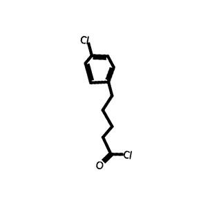 O=C(Cl)CCCCc1ccc(Cl)cc1